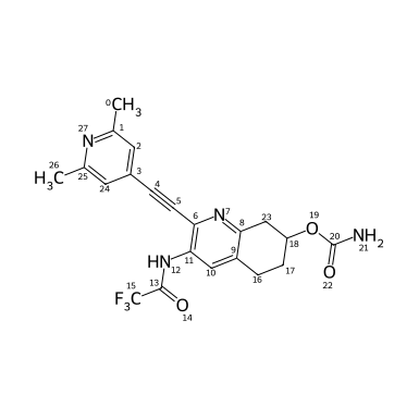 Cc1cc(C#Cc2nc3c(cc2NC(=O)C(F)(F)F)CCC(OC(N)=O)C3)cc(C)n1